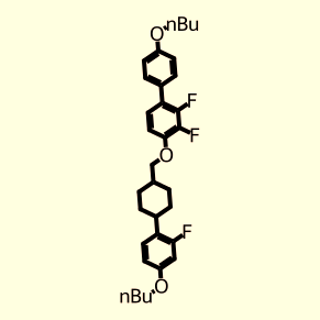 CCCCOc1ccc(-c2ccc(OCC3CCC(c4ccc(OCCCC)cc4F)CC3)c(F)c2F)cc1